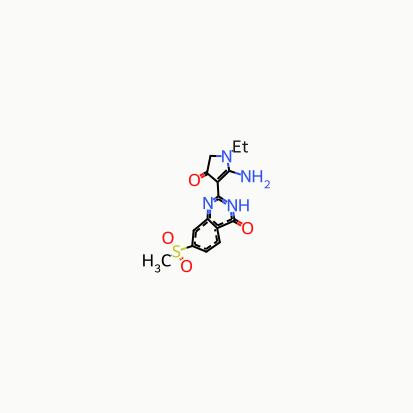 CCN1CC(=O)C(c2nc3cc(S(C)(=O)=O)ccc3c(=O)[nH]2)=C1N